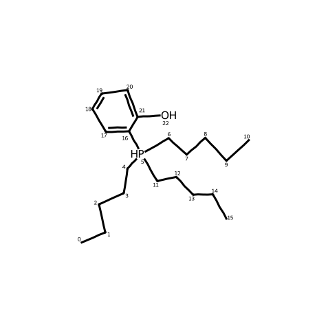 CCCCC[PH](CCCCC)(CCCCC)c1ccccc1O